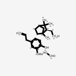 C=CCc1ccc(O)c(OC)c1.CC12CCC(C1)C(C)(C)[C@H]2CC(=O)O.O=CO